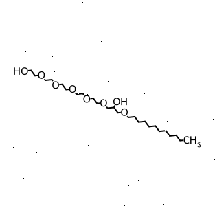 CCCCCCCCCCCCOCC(O)COCCOCCOCCOCCOCCO